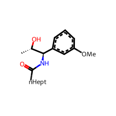 CCCCCCCC(=O)N[C@H](c1cccc(OC)c1)[C@H](C)O